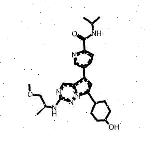 COC[C@H](C)Nc1ncc2c(-c3ccc(C(=O)NC(C)C)nc3)cc(C3CCC(O)CC3)n2n1